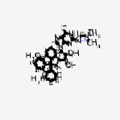 COc1ccccc1C(c1ccccc1)(c1ccccc1OC)C(O)[C@H]1O[C@@H](n2cnc3c(=O)[nH]c(/N=C/N(C)C)nc32)[C@H](O)[C@@H]1O